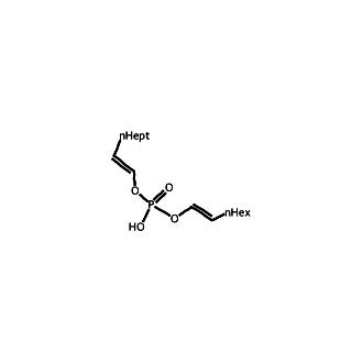 CCCCCCC=COP(=O)(O)OC=CCCCCCCC